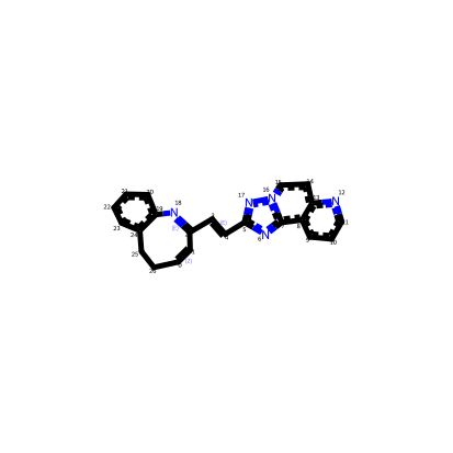 C1=C/C(/C=C/c2nc3c4cccnc4ccn3n2)=N\c2ccccc2CC\1